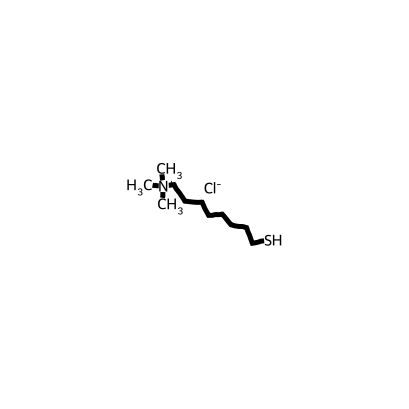 C[N+](C)(C)CCCCCCCCS.[Cl-]